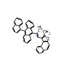 C/C(=C\c1c(C)oc2ccc3ccccc3c12)c1c2ccccc2c(-c2cccc3ccccc23)c2ccccc12